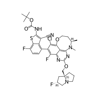 C[C@@H]1CCOc2c(Cl)c(-c3ccc(F)c4sc(NC(=O)OC(C)(C)C)c(C#N)c34)c(F)c3nc(OC[C@@]45CCCN4C[C@H](F)C5)nc(c23)N1C